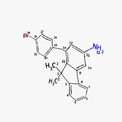 CC1(C)c2ccccc2-c2cc(N)cc(-c3ccc(Br)cc3)c21